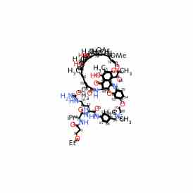 CCOCCC(=O)N[C@H](C(=O)N[C@@H](CCCNC(N)=O)C(=O)Nc1ccc(C[N+](C)(C)CCOc2ccc3nc4c5c6c7c(C)c(O)c5c(=O)c(c-4oc3c2)NC(=O)/C(C)=C\C=C\[C@H](C)[C@H](O)[C@@H](C)[C@@H](O)[C@@H](C)C(OC(C)=O)[C@H](C)[C@@H](OC)/C=C/O[C@@](C)(O7)C6=O)cc1)C(C)C